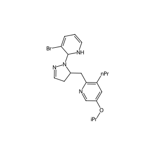 CCCc1cc(OC(C)C)cnc1CC1CC=NN1C1NC=CC=C1Br